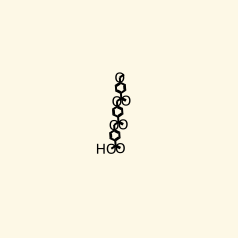 COc1ccc(C(=O)Oc2ccc(C(=O)Oc3ccc(C(=O)O)cc3)cc2)cc1